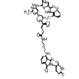 Cc1nc(Nc2ncc(C(=O)Nc3c(C)cccc3Cl)s2)cc(N2CCN(C(=O)CCC(=O)NCCOCCNc3cccc4c3C(=O)N(C3CCC(=O)NC3=O)C4=O)CC2)n1